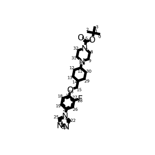 CC(C)(C)OC(=O)N1CCN(C2CCC(COc3ccc(-n4cnnc4)cc3F)CC2)CC1